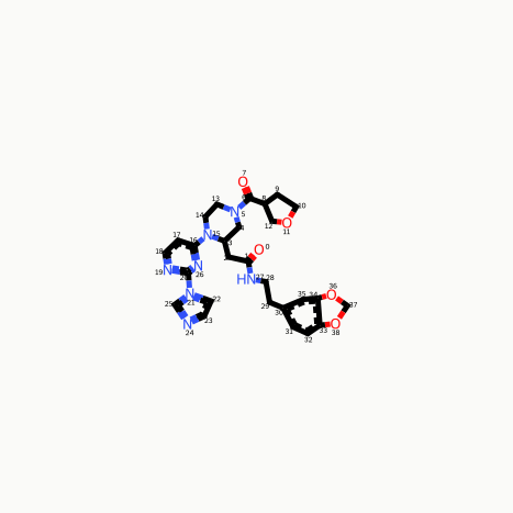 O=C(CC1CN(C(=O)C2CCOC2)CCN1c1ccnc(-n2ccnc2)n1)NCCc1ccc2c(c1)OCO2